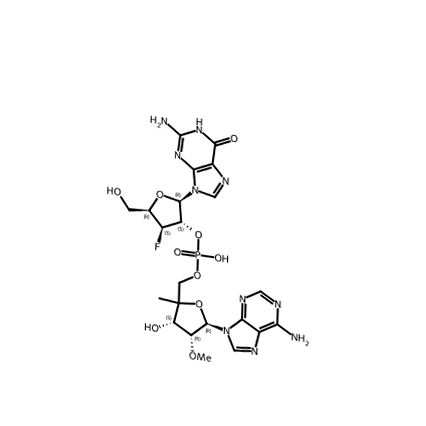 CO[C@H]1[C@H](n2cnc3c(N)ncnc32)OC(C)(COP(=O)(O)O[C@@H]2[C@@H](F)[C@@H](CO)O[C@H]2n2cnc3c(=O)[nH]c(N)nc32)[C@H]1O